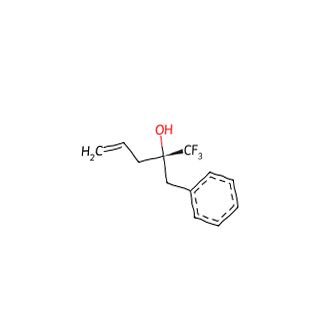 C=CC[C@](O)(Cc1ccccc1)C(F)(F)F